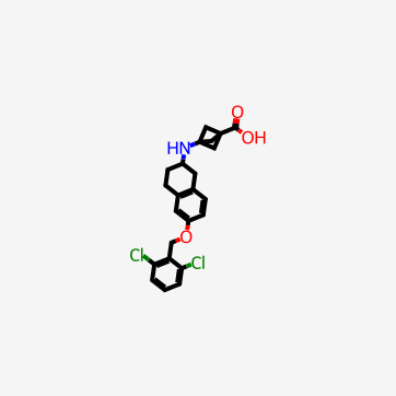 O=C(O)C12CC(NC3CCc4cc(OCc5c(Cl)cccc5Cl)ccc4C3)(C1)C2